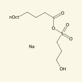 CCCCCCCCCCCC(=O)OS(=O)(=O)CCCO.[Na]